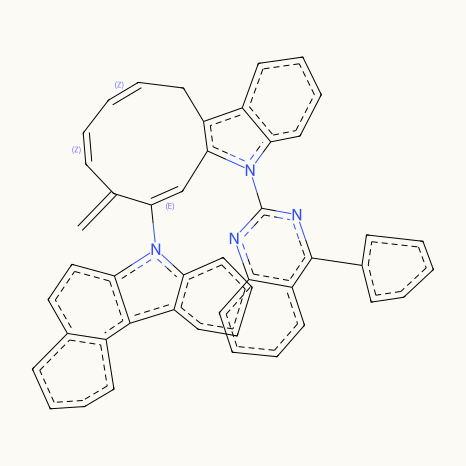 C=C1/C=C\C=C/Cc2c(n(-c3nc(-c4ccccc4)c4ccccc4n3)c3ccccc23)/C=C\1n1c2ccccc2c2c3ccccc3ccc21